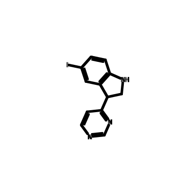 Ic1ccc2c(c1)C(c1ccncn1)CN2